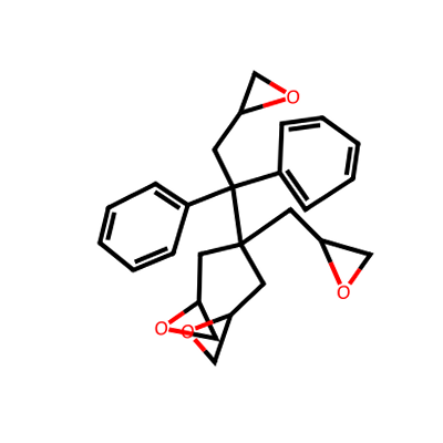 c1ccc(C(CC2CO2)(c2ccccc2)C(CC2CO2)(CC2CO2)CC2CO2)cc1